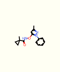 Cc1cc(ONC(=O)C2(C)CC2)n(-c2ccccc2)n1